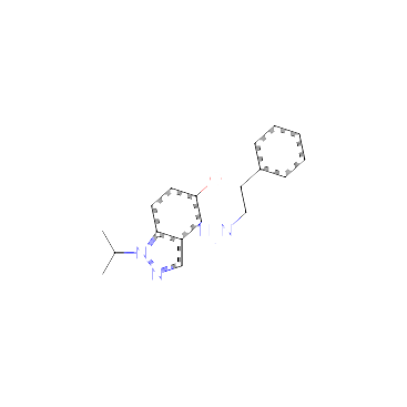 CC(C)n1ncc2cc(O[C@H](c3ccccc3)[C@H](C)N)ccc21